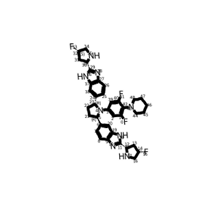 Fc1cc(N2[C@@H](c3ccc4nc([C@@H]5C[C@H](F)CN5)[nH]c4c3)CC[C@@H]2c2ccc3nc([C@@H]4C[C@H](F)CN4)[nH]c3c2)cc(F)c1N1CCCCC1